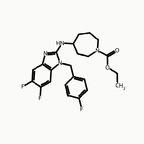 CCOC(=O)N1CCCC(Nc2nc3cc(F)c(F)cc3n2Cc2ccc(F)cc2)CC1